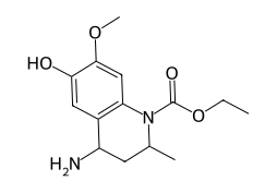 CCOC(=O)N1c2cc(OC)c(O)cc2C(N)CC1C